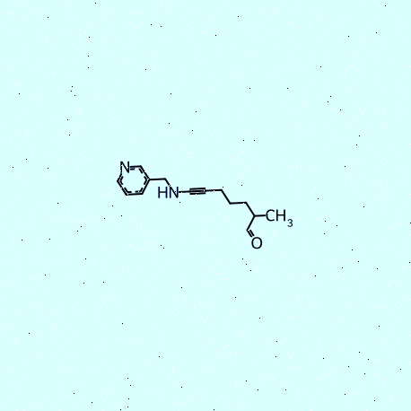 CC(C=O)CCCC#CNCc1cccnc1